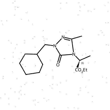 CCOC(=O)[C@H](C)n1c(C)nn(CC2CCCCC2)c1=O